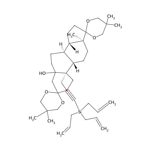 C=CC[Si](C#CC[C@]12CCC3(CC1(O)CC[C@@H]1[C@@H]2CC[C@@]2(C)[C@H]1CCC21OCC(C)(C)CO1)OCC(C)(C)CO3)(CC=C)CC=C